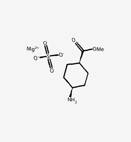 COC(=O)[C@H]1CC[C@@H](N)CC1.O=S(=O)([O-])[O-].[Mg+2]